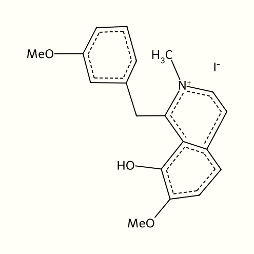 COc1cccc(Cc2c3c(O)c(OC)ccc3cc[n+]2C)c1.[I-]